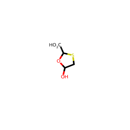 O=C(O)C1OC(O)CS1